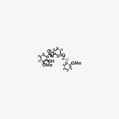 COc1ccccc1CCOc1cccc(NC(=O)c2cccc(OC)c2O)c1